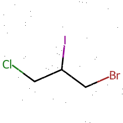 ClCC(I)CBr